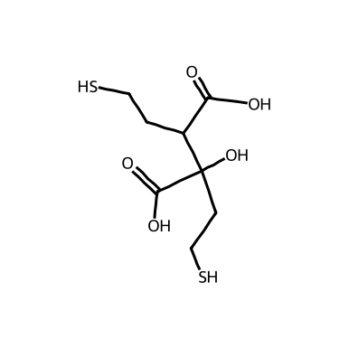 O=C(O)C(CCS)C(O)(CCS)C(=O)O